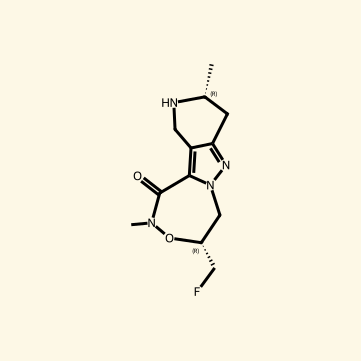 C[C@@H]1Cc2nn3c(c2CN1)C(=O)N(C)O[C@@H](CF)C3